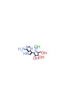 Cl.Nc1ncnc2c(C3NC(CO)C(O)C3O)c[nH]c12